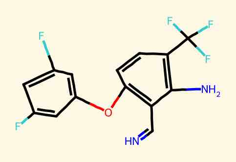 N=Cc1c(Oc2cc(F)cc(F)c2)ccc(C(F)(F)F)c1N